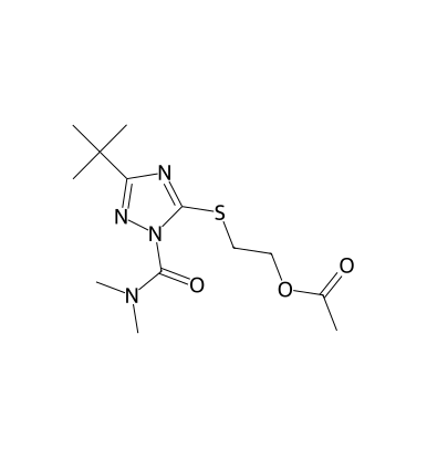 CC(=O)OCCSc1nc(C(C)(C)C)nn1C(=O)N(C)C